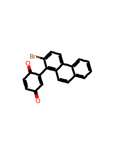 O=C1C=CC(=O)C(c2c(Br)ccc3c2ccc2ccccc23)=C1